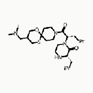 CC(C)C[C@@H]1NCCN([C@@H](CC(C)C)C(=O)N2CCC3(CC2)OCC(CN(C)I)CS3)C1=O